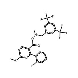 CSc1ncc(C(=O)ON(C)Cc2cc(C(F)(F)F)cc(C(F)(F)F)c2)c(-c2ccccc2F)n1